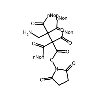 CCCCCCCCCC(=O)C(CN)(C(=O)CCCCCCCCC)C(C(=O)CCCCCCCCC)(C(=O)CCCCCCCCC)C(=O)ON1C(=O)CCC1=O